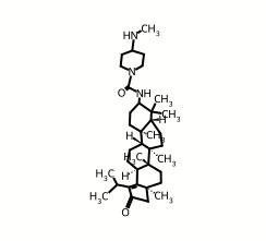 CNC1CCN(C(=O)NC2CC[C@]3(C)[C@H]4CC[C@@H]5C6=C(C(C)C)C(=O)C[C@]6(C)CC[C@@]5(C)[C@]4(C)CC[C@H]3C2(C)C)CC1